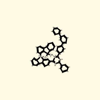 CC1(C)c2ccccc2-c2cccc(-n3c4ccccc4c4ccc(-c5nc(-c6ccccc6)nc(-c6ccc(-c7cccc(-c8ccccc8)c7)cc6)n5)cc43)c21